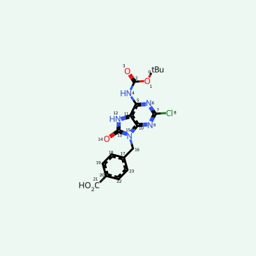 CC(C)(C)OC(=O)Nc1nc(Cl)nc2c1[nH]c(=O)n2Cc1ccc(C(=O)O)cc1